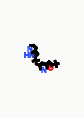 CC(C)(C)c1cc2cc(CC(C)(C)c3cc4cccnc4[nH]3)cnc2o1